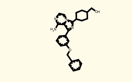 Nc1nccn2c(C3CCC(CO)CC3)nc(-c3cccc(OCc4ccccc4)c3)c12